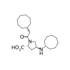 O=C(O)[C@H]1C[C@H](NC2CCCCCCC2)CN1C(=O)C=C1CCCCCCC1